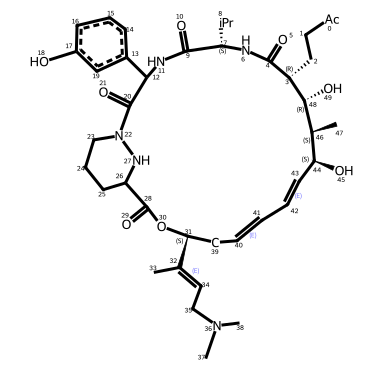 CC(=O)CC[C@H]1C(=O)N[C@@H](C(C)C)C(=O)NC(c2cccc(O)c2)C(=O)N2CCCC(N2)C(=O)O[C@H](/C(C)=C/CN(C)C)C/C=C/C=C/[C@H](O)[C@H](C)[C@H]1O